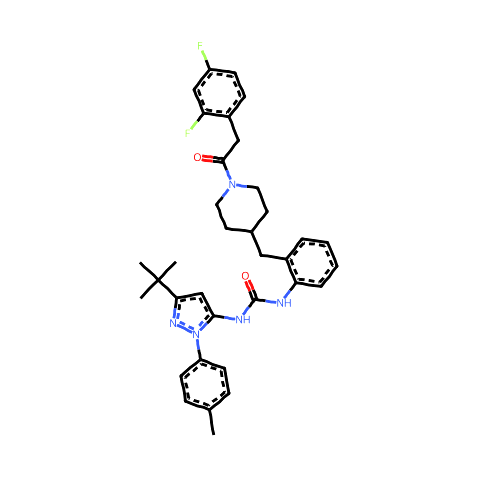 Cc1ccc(-n2nc(C(C)(C)C)cc2NC(=O)Nc2ccccc2CC2CCN(C(=O)Cc3ccc(F)cc3F)CC2)cc1